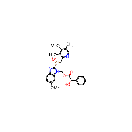 COc1ccc2nc([S@+]([O-])Cc3ncc(C)c(OC)c3C)n(COC(=O)[C@@H](O)c3ccccc3)c2c1